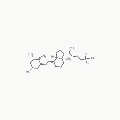 C=C1/C(=C\C=C2/CCC[C@]3(C)[C@@H](C(C)SCCC(O)(CC)CC)CC[C@@H]23)C[C@@H](O)C[C@@H]1O